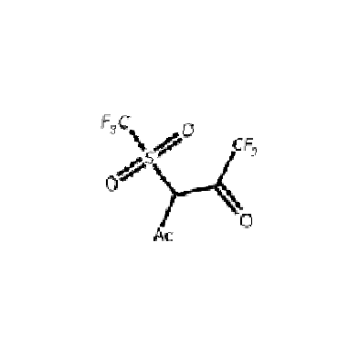 CC(=O)C(C(=O)C(F)(F)F)S(=O)(=O)C(F)(F)F